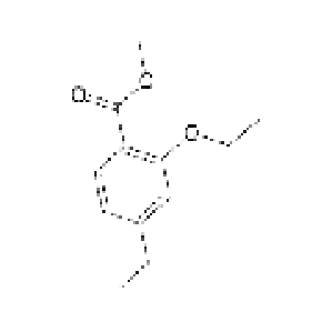 CCOc1cc(CC)ccc1C(=O)OC